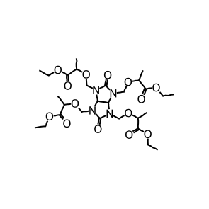 CCOC(=O)C(C)OCN1C(=O)N(COC(C)C(=O)OCC)C2C1N(COC(C)C(=O)OCC)C(=O)N2COC(C)C(=O)OCC